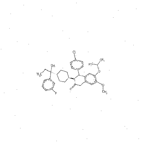 CCC(O)(c1cccc(F)c1)[C@H]1CC[C@H](N2C(=O)Cc3cc(OC)c(OC(C)C)cc3C2c2ccc(Cl)cc2)CC1